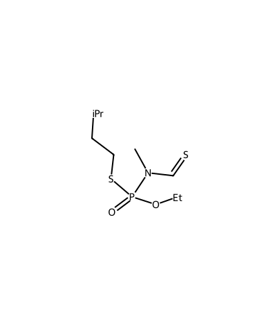 CCOP(=O)(SCCC(C)C)N(C)C=S